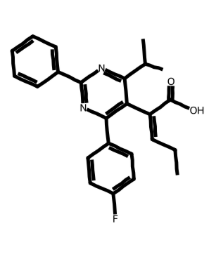 CCC=C(C(=O)O)c1c(-c2ccc(F)cc2)nc(-c2ccccc2)nc1C(C)C